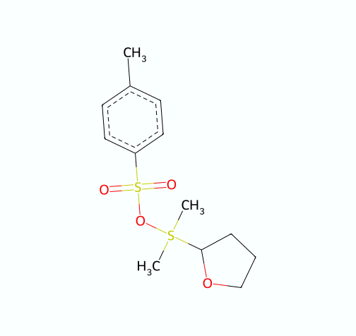 Cc1ccc(S(=O)(=O)OS(C)(C)C2CCCO2)cc1